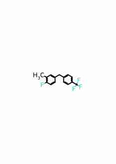 Cc1cc(Cc2ccc(C(F)(F)F)cc2)ccc1F